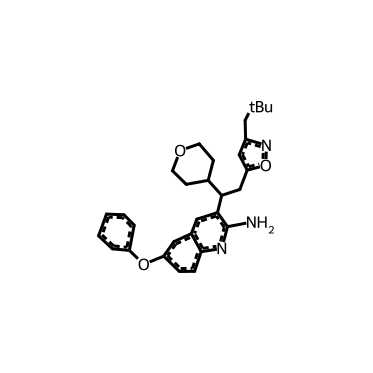 CC(C)(C)Cc1cc(CC(c2cc3cc(Oc4ccccc4)ccc3nc2N)C2CCOCC2)on1